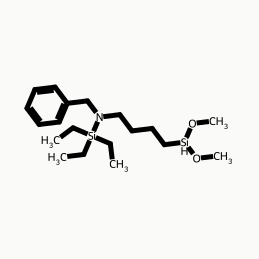 CC[Si](CC)(CC)N(CCCC[SiH](OC)OC)Cc1ccccc1